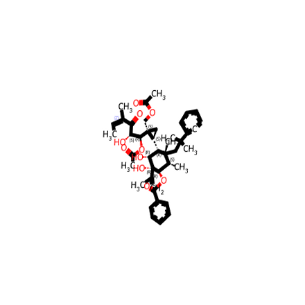 C=C(C)[C@@]1(O)[C@H](O)[C@H]([C@@H]2C[C@]2(COC(C)=O)[C@@H](OC(C)=O)[C@H](O)C(=O)/C(C)=C\C)[C@](C)(CC(C)(C)c2ccccc2)[C@H](C)[C@H]1OC(=O)c1ccccc1